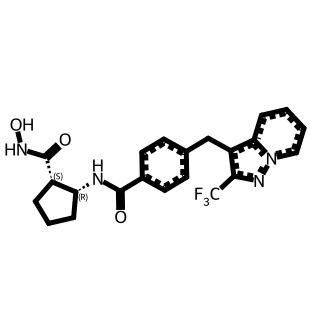 O=C(N[C@@H]1CCC[C@@H]1C(=O)NO)c1ccc(Cc2c(C(F)(F)F)nn3ccccc23)cc1